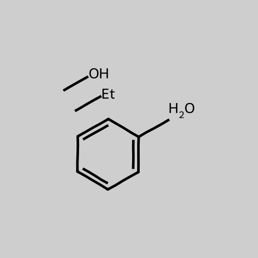 CCC.CO.Cc1ccccc1.O